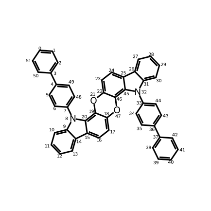 c1ccc(-c2ccc(-n3c4ccccc4c4ccc5c(c43)Oc3ccc4c6ccccc6n(-c6ccc(-c7ccccc7)cc6)c4c3O5)cc2)cc1